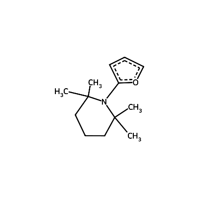 CC1(C)CCCC(C)(C)N1c1ccco1